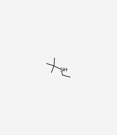 CC[SiH]C(C)(C)C